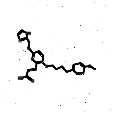 COc1ccc(CCCCOc2ccc(SCc3ncc[nH]3)nc2C=CC(=O)O)cc1